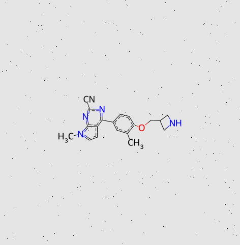 Cc1cc(-c2nc(C#N)nc3c2ccn3C)ccc1OCC1CNC1